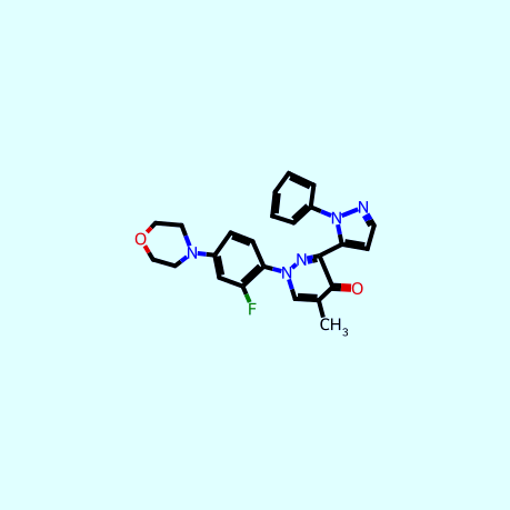 Cc1cn(-c2ccc(N3CCOCC3)cc2F)nc(-c2ccnn2-c2ccccc2)c1=O